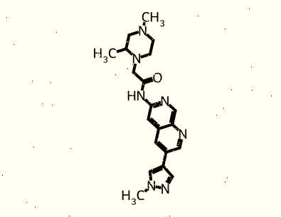 CC1CN(C)CCN1CC(=O)Nc1cc2cc(-c3cnn(C)c3)cnc2cn1